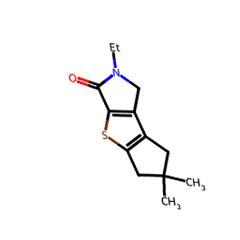 CCN1Cc2c(sc3c2CC(C)(C)C3)C1=O